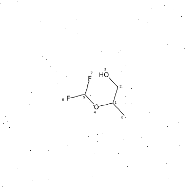 CC(CO)OC(F)F